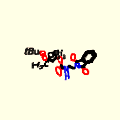 CC(CC(C)(C)OOC(C)(C)C)OC(=O)NCCN1C(=O)c2ccccc2C1=O